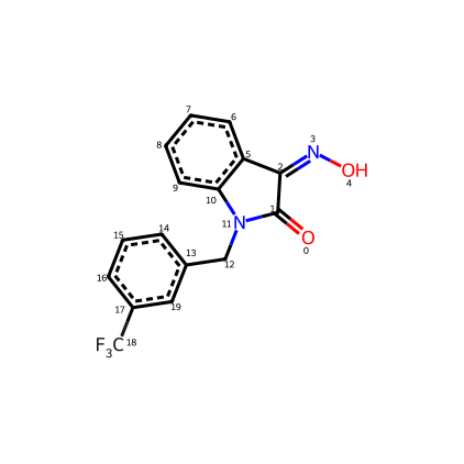 O=C1/C(=N\O)c2ccccc2N1Cc1cccc(C(F)(F)F)c1